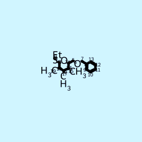 CCSC1OC(COCc2ccccc2)C(C)C(C)C1C